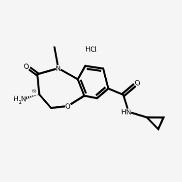 CN1C(=O)[C@@H](N)COc2cc(C(=O)NC3CC3)ccc21.Cl